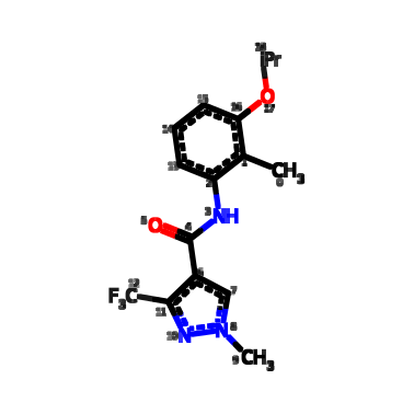 Cc1c(NC(=O)c2cn(C)nc2C(F)(F)F)cccc1OC(C)C